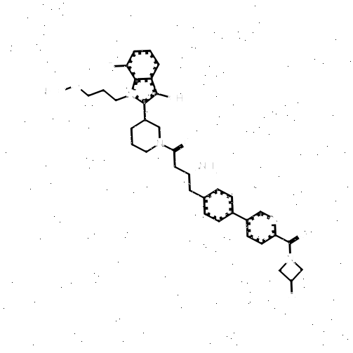 COCCCn1c(C2CCCN(C(=O)C[C@H](N)Cc3ccc(-c4ccc(C(=O)N5CC(O)C5)nc4)cc3)C2)c(C)c2cccc(F)c21